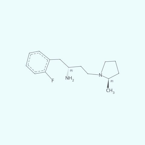 C[C@@H]1CCCN1CC[C@H](N)Cc1ccccc1F